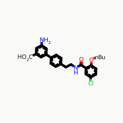 CCCCOc1ccc(Cl)cc1C(=O)NCCc1ccc(-c2cc(N)cc(C(=O)O)c2)cc1